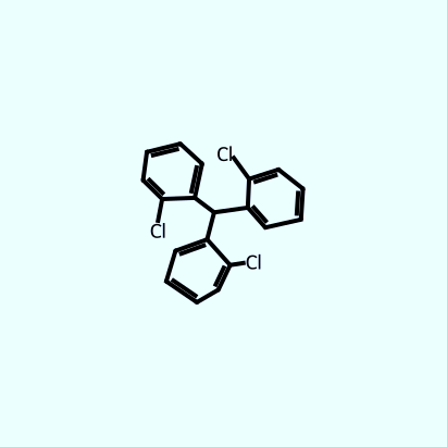 Clc1ccccc1C(c1ccccc1Cl)c1ccccc1Cl